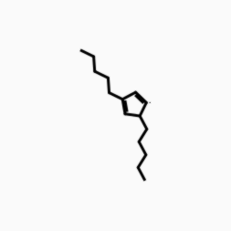 CCCCCC1=CC(CCCCC)[C]=C1